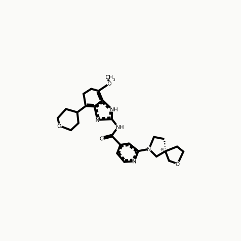 COC1=c2[nH]c(NC(=O)c3ccnc(N4CC[C@@]5(CCOC5)C4)c3)nc2=C(C2CCOCC2)CC1